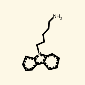 NCCCCCn1c2ccccc2c2ccccc21